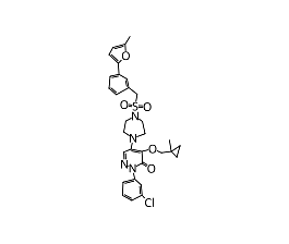 Cc1ccc(-c2cccc(CS(=O)(=O)N3CCN(c4cnn(-c5cccc(Cl)c5)c(=O)c4OCC4(C)CC4)CC3)c2)o1